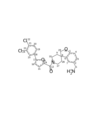 NCc1ccc2c(c1)C1(CCN(C(=O)c3ccc(-c4ccc(Cl)c(Cl)c4)o3)CC1)CO2